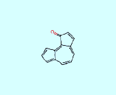 O=C1C=Cc2cccc3cccc-3c21